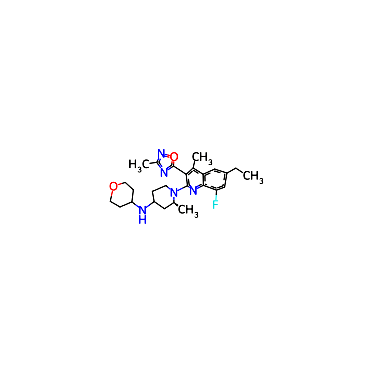 CCc1cc(F)c2nc(N3CCC(NC4CCOCC4)C[C@@H]3C)c(-c3nc(C)no3)c(C)c2c1